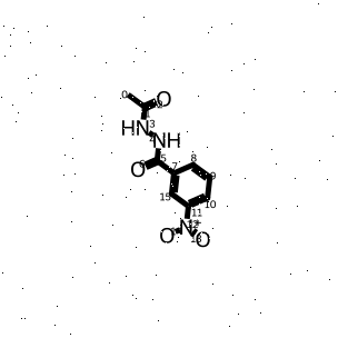 CC(=O)NNC(=O)c1cccc([N+](=O)[O-])c1